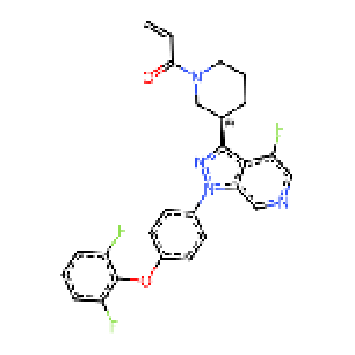 C=CC(=O)N1CCC[C@@H](c2nn(-c3ccc(Oc4c(F)cccc4F)cc3)c3cncc(F)c23)C1